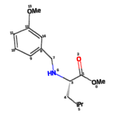 COC(=O)[C@H](CC(C)C)NCc1cccc(OC)c1